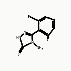 Nn1c(-c2c(F)cccc2F)n[nH]c1=S